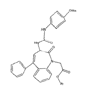 COc1ccc(NC(=O)NC2C=C(c3ccccc3)c3ccccc3N(CC(=O)OC(C)C)C2=O)cc1